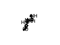 CC(C)(C)OC(=O)N1CC=C(c2cc3c(Nc4cccc(-c5ccc[nH]5)c4)ncnc3[nH]2)CC1